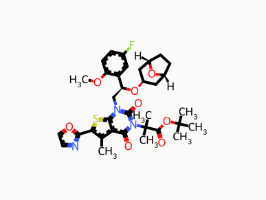 COc1ccc(F)cc1[C@H](Cn1c(=O)n(C(C)(C)C(=O)OC(C)(C)C)c(=O)c2c(C)c(-c3ncco3)sc21)O[C@@H]1C[C@H]2CC[C@@H](C1)O2